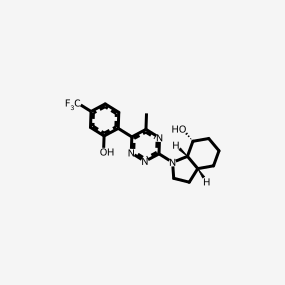 Cc1nc(N2CC[C@H]3CCC[C@@H](O)[C@H]32)nnc1-c1ccc(C(F)(F)F)cc1O